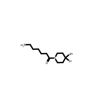 CCCC1(CC)CCN(C(=O)CCCCCN)CC1